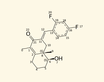 CC1=C2CCC[C@H](O)[C@@]2(C)CC(=Cc2ccc(F)cc2F)C1=O